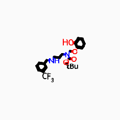 CC(C)(C)OC(=O)N(CCCNCc1cccc(C(F)(F)F)c1)COc1ccccc1O